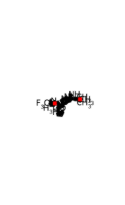 C[C@H](c1ncccc1F)N(Cc1ccc(C(F)(F)F)cn1)C(=O)c1cnc2nc(N)c(C#C[Si](C)(C)C)cc2c1